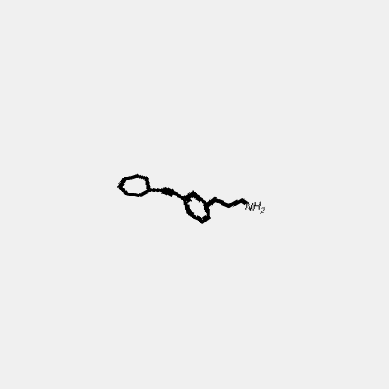 NCCCc1cccc(C#CC2CCCCCC2)c1